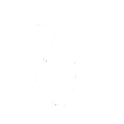 Cc1cc(C)c2c(c1)c1nccc3cc(CC4CCCC4)c4c5ccc(C)cc5n2c4c31